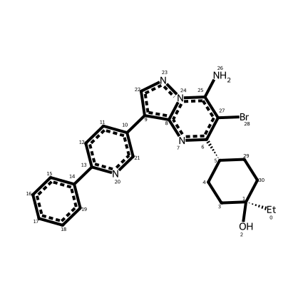 CC[C@]1(O)CC[C@H](c2nc3c(-c4ccc(-c5ccccc5)nc4)cnn3c(N)c2Br)CC1